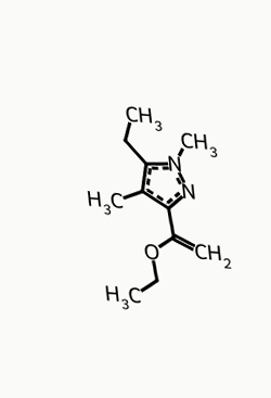 C=C(OCC)c1nn(C)c(CC)c1C